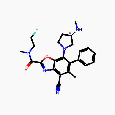 CN[C@H]1CCN(c2c(-c3ccccc3)c(C)c(C#N)c3nc(C(=O)N(C)CCF)oc23)C1